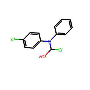 OC(Cl)N(c1ccccc1)c1ccc(Cl)cc1